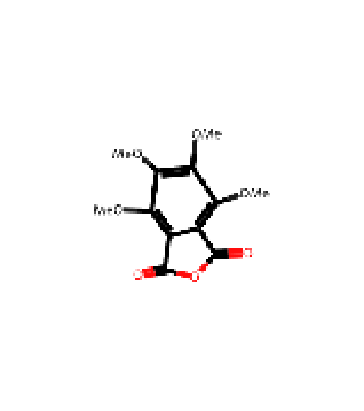 COc1c(OC)c(OC)c2c(c1OC)C(=O)OC2=O